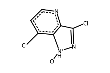 [O-][NH+]1N=C(Cl)c2nccc(Cl)c21